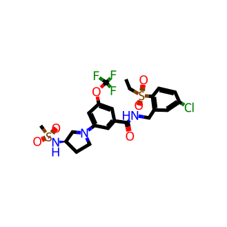 CCS(=O)(=O)c1ccc(Cl)cc1CNC(=O)c1cc(OC(F)(F)F)cc(N2CC[C@@H](NS(C)(=O)=O)C2)c1